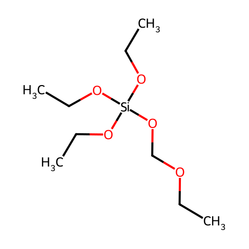 CCOCO[Si](OCC)(OCC)OCC